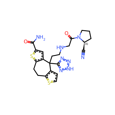 N#C[C@@H]1CCCN1C(=O)CNCCC1(c2nn[nH]n2)c2ccsc2CCc2sc(C(N)=O)cc21